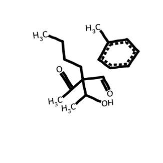 CCCCC(C=O)(C(C)=O)C(C)O.Cc1ccccc1